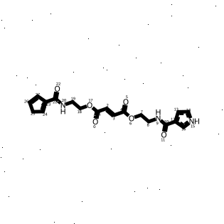 O=C(/C=C/C(=O)OCCNC(=O)c1cc[nH]c1)OCCNC(=O)C1=CCC=C1